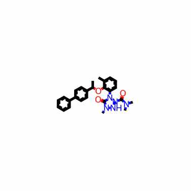 Cc1cccc(N2C(=O)N(C)NN2C(=O)N(C)C)c1OC(C)c1ccc(-c2ccccc2)cc1